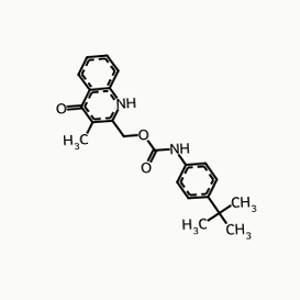 Cc1c(COC(=O)Nc2ccc(C(C)(C)C)cc2)[nH]c2ccccc2c1=O